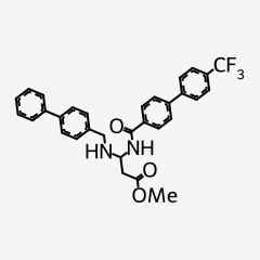 COC(=O)CC(NCc1ccc(-c2ccccc2)cc1)NC(=O)c1ccc(-c2ccc(C(F)(F)F)cc2)cc1